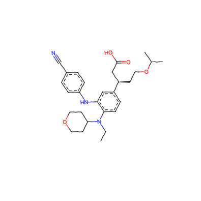 CCN(c1ccc([C@H](CCOC(C)C)CC(=O)O)cc1Nc1ccc(C#N)cc1)C1CCOCC1